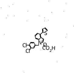 O=C(O)Oc1cc2c(-c3cccs3)cccc2n1Cc1ccc(Cl)c(Cl)c1